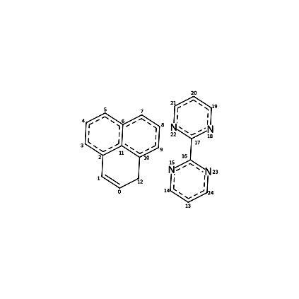 C1=Cc2cccc3cccc(c23)C1.c1cnc(-c2ncccn2)nc1